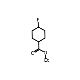 CCOC(=O)C1CCC(F)CC1